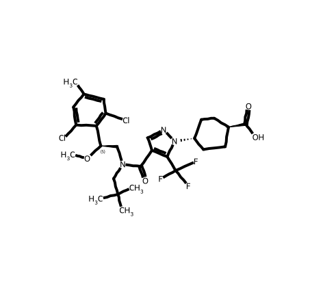 CO[C@H](CN(CC(C)(C)C)C(=O)c1cnn([C@H]2CC[C@H](C(=O)O)CC2)c1C(F)(F)F)c1c(Cl)cc(C)cc1Cl